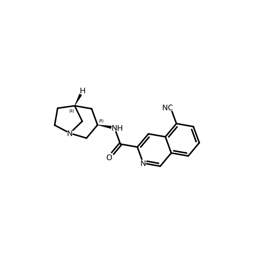 N#Cc1cccc2cnc(C(=O)N[C@@H]3C[C@H]4CCN(C4)C3)cc12